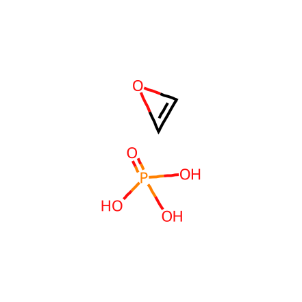 C1=CO1.O=P(O)(O)O